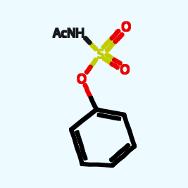 CC(=O)NS(=O)(=O)Oc1ccccc1